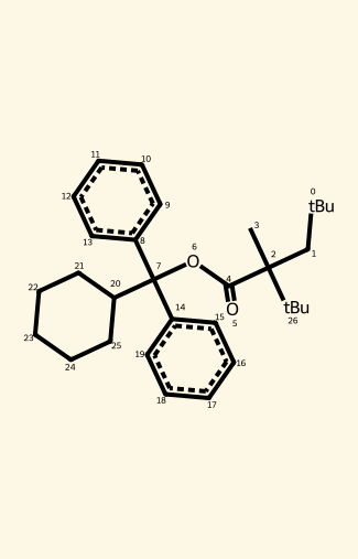 CC(C)(C)CC(C)(C(=O)OC(c1ccccc1)(c1ccccc1)C1CCCCC1)C(C)(C)C